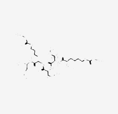 C[C@@H](OC(C)(C)C)[C@H](NC(=O)[C@@H](NC(=O)[C@@H](N)CCCCNC(=O)OC(C)(C)C)[C@@H](C)OC(C)(C)C)C(=O)N[C@@H](CCCCNC(=O)OC(C)(C)C)C(=O)N[C@@H](COC(C)(C)C)C(=O)O